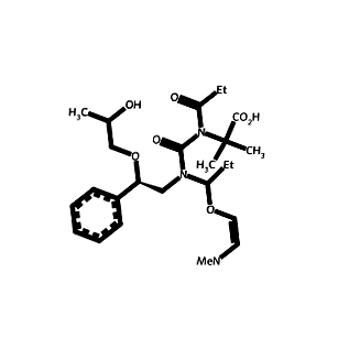 CCC(=O)N(C(=O)N(C[C@H](OCC(C)O)c1ccccc1)C(CC)O/C=C\NC)C(C)(C)C(=O)O